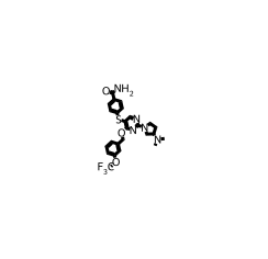 CN(C)C1CCN(c2ncc(Sc3ccc(C(N)=O)cc3)c(OCc3cccc(OC(F)(F)F)c3)n2)C1